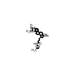 Cc1cnc(NC(=O)CCC[C@@H]2C[C@H](O)[C@@]3(C)CCC4c5ccc(O)c(NC(C)CO)c5CCC4C23)s1